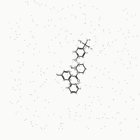 Cc1cnc(C(=O)N2CCC[C@@H](Oc3ccc(C(F)(F)F)cn3)[C@@H]2C)c(-c2ncccn2)c1